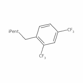 CCCC(C)Cc1ccc(C(F)(F)F)cc1C(F)(F)F